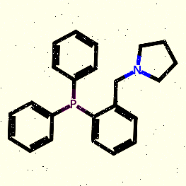 c1ccc(P(c2ccccc2)c2ccccc2CN2CCCC2)cc1